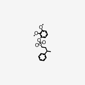 COc1cccc(OS(=O)(=O)CCC(C)c2ccccc2)c1OC